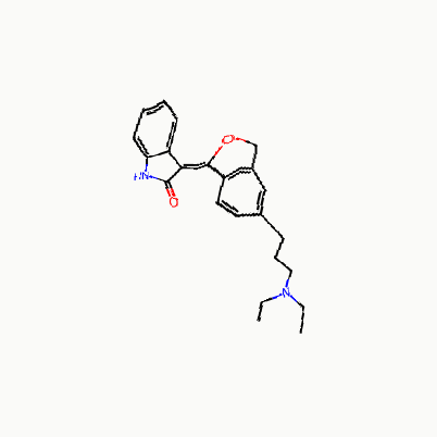 CCN(CC)CCCc1ccc2c(c1)COC2=C1C(=O)Nc2ccccc21